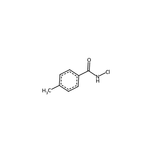 Cc1ccc(C(=O)NCl)cc1